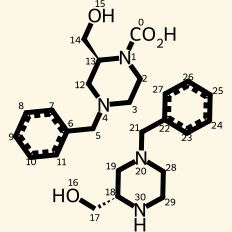 O=C(O)N1CCN(Cc2ccccc2)C[C@H]1CO.OC[C@@H]1CN(Cc2ccccc2)CCN1